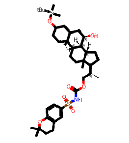 C[C@H](COC(=O)NS(=O)(=O)c1ccc2c(c1)CCC(C)(C)O2)C1CC[C@H]2[C@@H]3[C@H](O)CC4CC(O[Si](C)(C)C(C)(C)C)CCC4(C)[C@H]3CCC12C